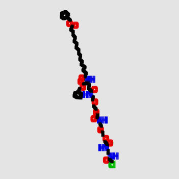 O=C(CCl)NCCNC(=O)COCCOCCNC(=O)COCCOCCNC(=O)CC[C@H](NC(=O)CCCCCCCCCCCCCCCCC(=O)OCc1ccccc1)C(=O)OCc1ccccc1